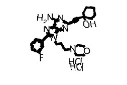 Cl.Cl.Nc1nc(C#CC2(O)CCCCC2)nc2c1nc(-c1cccc(F)c1)n2CCCN1CCOCC1